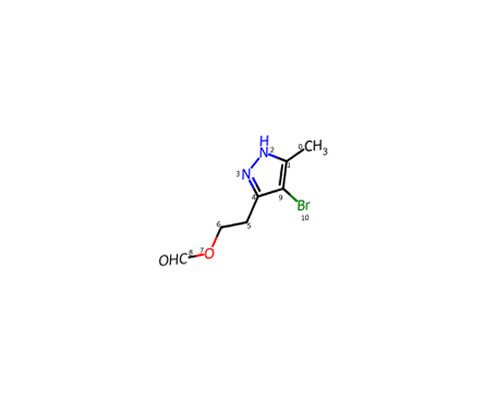 Cc1[nH]nc(CCOC=O)c1Br